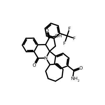 NC(=O)c1ccc(C2(Cc3ccccc3C(F)(F)F)C(C(=O)O)c3ccccc3C(=O)N2C2CCCCCC2)cc1